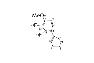 COc1ccc(C2=CCCCC2)c(F)c1F